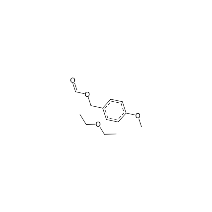 CCOCC.COc1ccc(COC=O)cc1